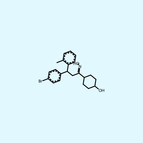 Cc1ccccc1C(C/C(=N\O)C1CCC(O)CC1)c1ccc(Br)cc1